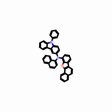 c1ccc(-n2c3ccccc3c3cc(N(c4cccc5ccccc45)c4cccc5c4oc4c6ccccc6ccc54)ccc32)cc1